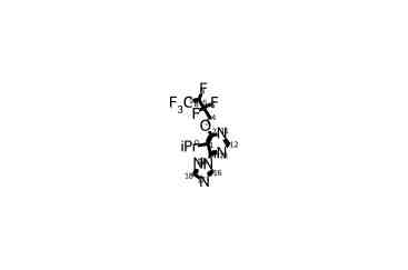 CC(C)c1c(OCC(F)(F)C(F)C(F)(F)F)ncnc1-n1cncn1